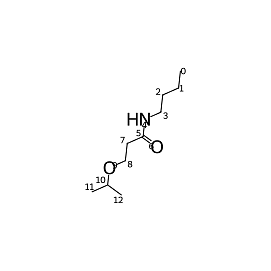 CCCCNC(=O)CCOC(C)C